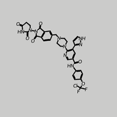 O=C1CCN(N2C(=O)c3ccc(CN4CCN(c5ncc(C(=O)Nc6ccc(OC(F)(F)Cl)cc6)cc5-c5cc[nH]n5)CC4)cc3C2=O)C(=O)N1